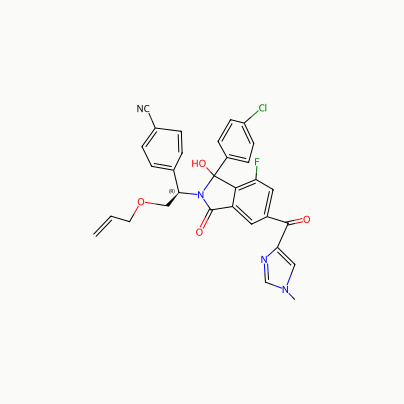 C=CCOC[C@@H](c1ccc(C#N)cc1)N1C(=O)c2cc(C(=O)c3cn(C)cn3)cc(F)c2C1(O)c1ccc(Cl)cc1